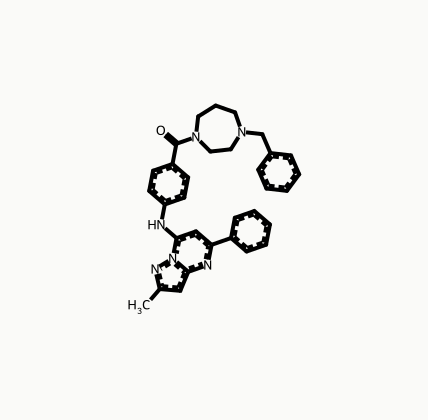 Cc1cc2nc(-c3ccccc3)cc(Nc3ccc(C(=O)N4CCCN(Cc5ccccc5)CC4)cc3)n2n1